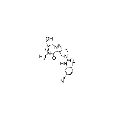 CN1O[C@H](CO)Cn2nc3c(c2C1=O)CN(C(=O)Nc1cc(C#N)ccc1F)CC3